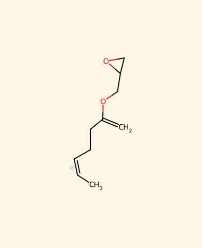 C=C(CC/C=C\C)OCC1CO1